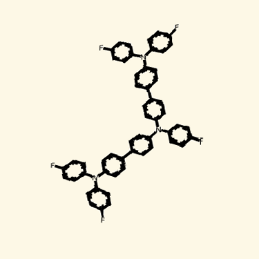 Fc1ccc(N(c2ccc(F)cc2)c2ccc(-c3ccc(N(c4ccc(F)cc4)c4ccc(-c5ccc(N(c6ccc(F)cc6)c6ccc(F)cc6)cc5)cc4)cc3)cc2)cc1